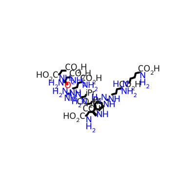 CC(C)CC(N)C(=O)O.CC(C)CC(N)C(=O)O.N=C(N)NCCCC(N)C(=O)O.N=C(N)NCCCC(N)C(=O)O.NC(=O)CC(N)C(=O)O.NC(CCC(=O)O)C(=O)O.NC(Cc1c[nH]c2ccccc12)C(=O)O.NCCCCC(N)C(=O)O